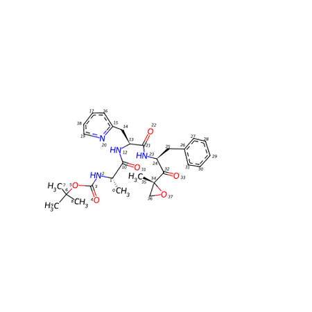 C[C@H](NC(=O)OC(C)(C)C)C(=O)N[C@@H](Cc1ccccn1)C(=O)N[C@@H](Cc1ccccc1)C(=O)[C@@]1(C)CO1